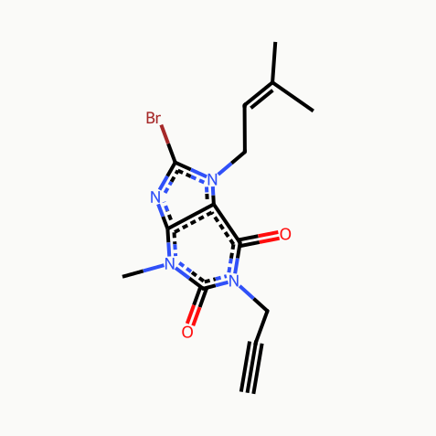 C#CCn1c(=O)c2c(nc(Br)n2CC=C(C)C)n(C)c1=O